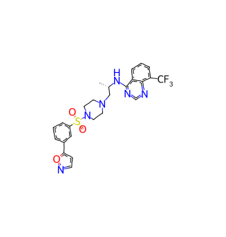 C[C@@H](CN1CCN(S(=O)(=O)c2cccc(-c3ccno3)c2)CC1)Nc1ncnc2c(C(F)(F)F)cccc12